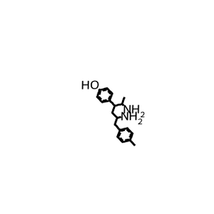 Cc1ccc(CC(N)CC(c2ccc(O)cc2)C(C)N)cc1